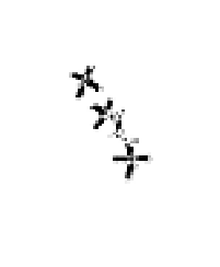 C[N+](C)(C)C.C[Si](C)(C)OOO[Si](C)(C)C